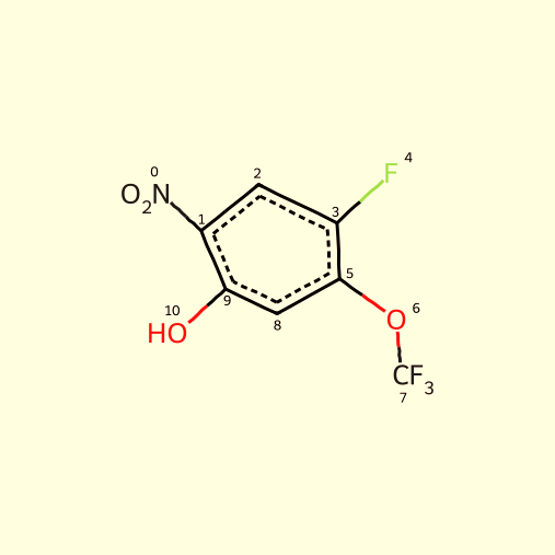 O=[N+]([O-])c1cc(F)c(OC(F)(F)F)cc1O